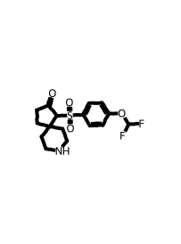 O=C1CCC2(CCNCC2)C1S(=O)(=O)c1ccc(OC(F)F)cc1